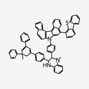 CN1c2ccccc2NC(c2ccc(C3=CC(c4ccccc4)=CC(C)(c4ccccc4)C3)cc2)C1c1ccc(-n2c3ccc4ccccc4c3c3c4ccccc4c(-c4cccc5c4sc4ccccc45)cc32)cc1